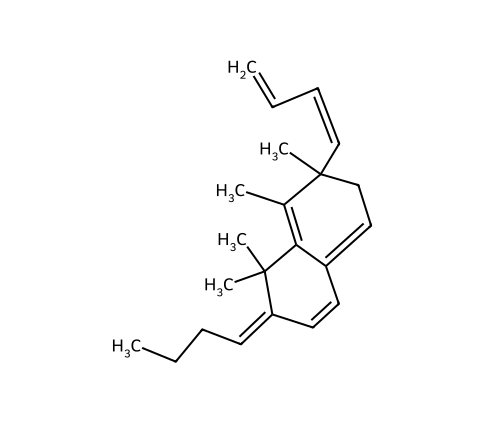 C=C/C=C\C1(C)CC=C2C=C/C(=C/CCC)C(C)(C)C2=C1C